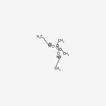 CCCCCCCCCc1cnc([C@H]2CC[C@H](Cc3cc(CCCC)ccc3Oc3ccc(CCCC)cc3C[C@H]3CC[C@H](c4ncc(CCCCCCCCC)cn4)CC3)CC2)nc1